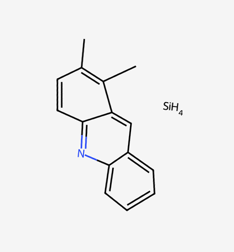 Cc1ccc2nc3ccccc3cc2c1C.[SiH4]